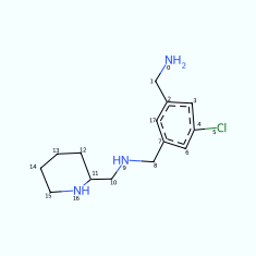 NCc1cc(Cl)cc(CNCC2CCCCN2)c1